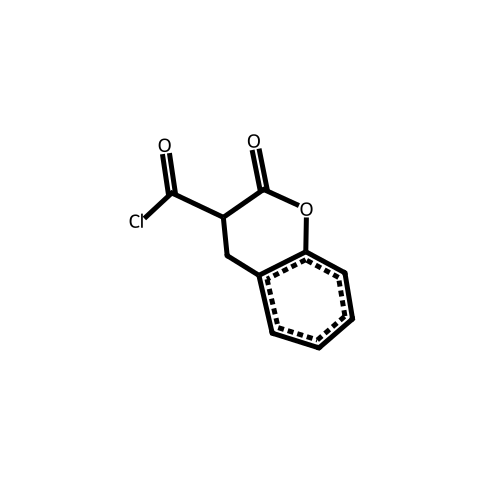 O=C(Cl)C1Cc2ccccc2OC1=O